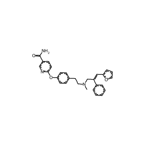 CN(CCc1ccc(Oc2ccc(C(N)=O)cn2)cc1)CC(=Cc1ccco1)c1ccccc1